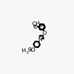 COc1cccc(OC2CN(C3CCC(OC)CC3)C2)c1